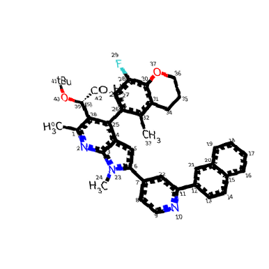 Cc1nc2c(cc(-c3ccnc(-c4ccc5ccccc5c4)c3)n2C)c(-c2cc(F)c3c(c2C)CCCO3)c1[C@H](OC(C)(C)C)C(=O)O